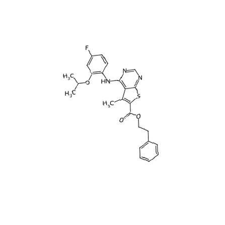 Cc1c(C(=O)OCCc2ccccc2)sc2ncnc(Nc3ccc(F)cc3OC(C)C)c12